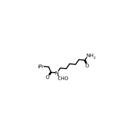 CC(C)CC(=O)N(C=O)CCCCCC(N)=O